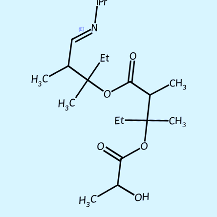 CCC(C)(OC(=O)C(C)C(C)(CC)OC(=O)C(C)O)C(C)/C=N/C(C)C